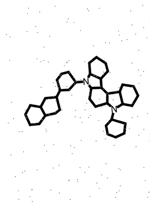 C1CCC(N2C3CCCCC3C3C4C5CCCCC5N(C5CCCC(C6CCC7CCCCC7C6)C5)C4CCC32)CC1